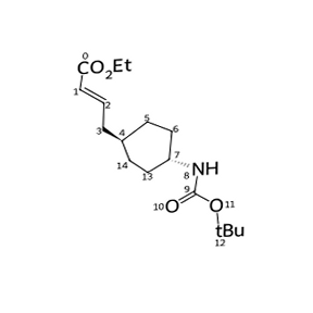 CCOC(=O)/C=C/C[C@H]1CC[C@H](NC(=O)OC(C)(C)C)CC1